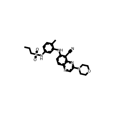 CCCS(=O)(=O)Nc1ccc(C)c(Nc2ccc3ncc(N4CCOCC4)nc3c2C#N)c1